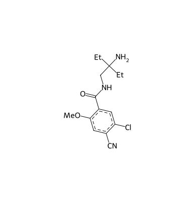 CCC(N)(CC)CNC(=O)c1cc(Cl)c(C#N)cc1OC